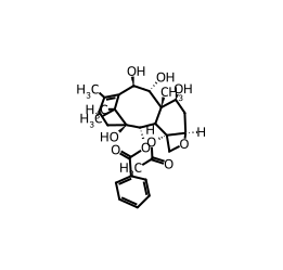 CC(=O)O[C@@]12CO[C@@H]1C[C@H](O)[C@]1(C)[C@@H]2[C@H](OC(=O)c2ccccc2)[C@]2(O)CCC(C)=C([C@@H](O)[C@@H]1O)C2(C)C